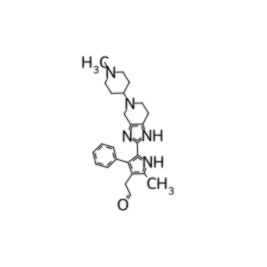 Cc1[nH]c(-c2nc3c([nH]2)CCN(C2CCN(C)CC2)C3)c(-c2ccccc2)c1CC=O